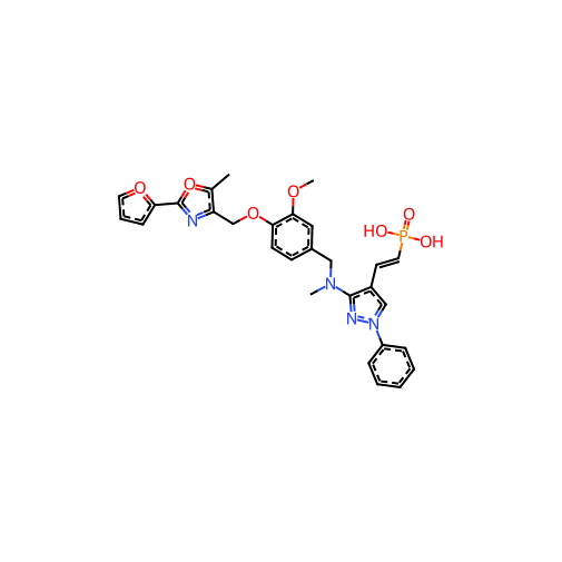 COc1cc(CN(C)c2nn(-c3ccccc3)cc2/C=C/P(=O)(O)O)ccc1OCc1nc(-c2ccco2)oc1C